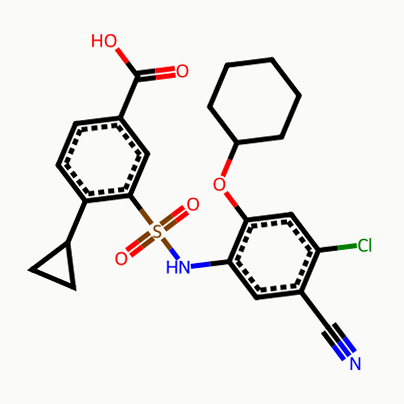 N#Cc1cc(NS(=O)(=O)c2cc(C(=O)O)ccc2C2CC2)c(OC2CCCCC2)cc1Cl